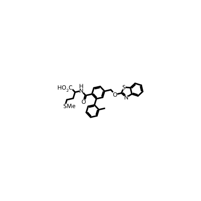 CSCCC(NC(=O)c1ccc(COc2nc3ccccc3s2)cc1-c1ccccc1C)C(=O)O